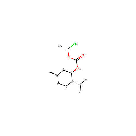 CC(C)[C@@H]1CC[C@@H](C)C[C@H]1OC(=O)O[C@H](C)Cl